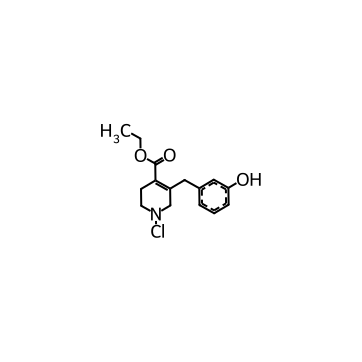 CCOC(=O)C1=C(Cc2cccc(O)c2)CN(Cl)CC1